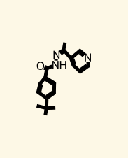 CC(=NNC(=O)c1ccc(C(C)(C)C)cc1)c1cccnc1